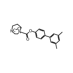 Cc1cc(C)cc(-c2ccc(OC(=O)N3CCN4CCC3CC4)cc2)c1